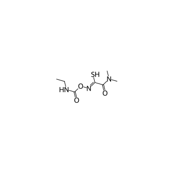 CCNC(=O)ON=C(S)C(=O)N(C)C